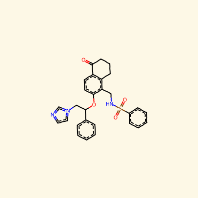 O=C1CCCc2c1ccc(OC(Cn1ccnc1)c1ccccc1)c2CNS(=O)(=O)c1ccccc1